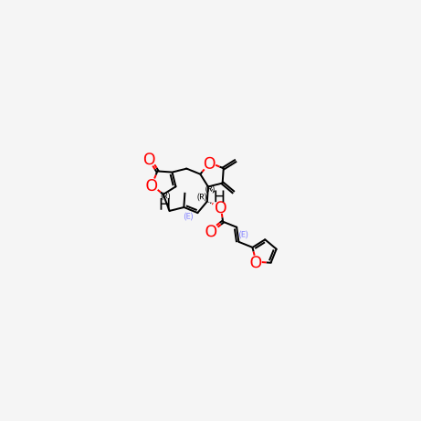 C=C1OC2CC3=C[C@@H](C/C(C)=C/[C@@H](OC(=O)/C=C/c4ccco4)[C@@H]2C1=C)OC3=O